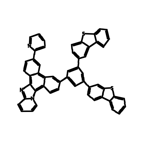 c1ccc(-c2ccc3c(c2)c2cc(-c4cc(-c5ccc6c(c5)sc5ccccc56)cc(-c5ccc6sc7ccccc7c6c5)c4)ccc2c2c3nc3ccccn32)nc1